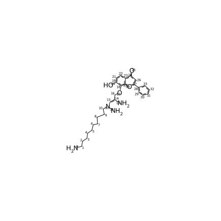 NCCCCCCCCCCN(N)/C=C(\N)COc1c(O)ccc2c(=O)cc(-c3ccccc3)oc12